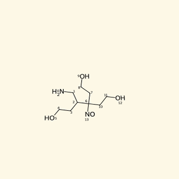 NCC(CCO)C(CCO)(CCO)N=O